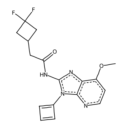 COc1ccnc2c1nc(NC(=O)CC1CC(F)(F)C1)n2C1=CC=C1